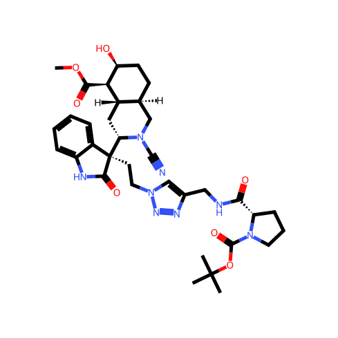 COC(=O)[C@@H]1[C@H]2C[C@@H]([C@@]3(CCn4cc(CNC(=O)[C@@H]5CCCN5C(=O)OC(C)(C)C)nn4)C(=O)Nc4ccccc43)N(C#N)C[C@@H]2CC[C@@H]1O